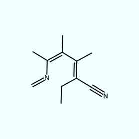 C=N/C(C)=C(C)\C(C)=C(\C#N)CC